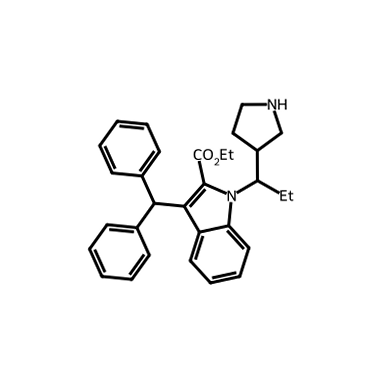 CCOC(=O)c1c(C(c2ccccc2)c2ccccc2)c2ccccc2n1C(CC)C1CCNC1